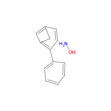 NO.c1ccc(-c2ccc3cc2C3)cc1